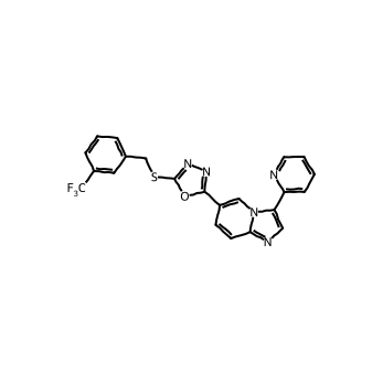 FC(F)(F)c1cccc(CSc2nnc(-c3ccc4ncc(-c5ccccn5)n4c3)o2)c1